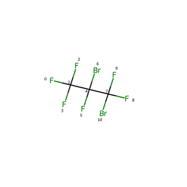 FC(F)(F)C(F)(Br)C(F)(F)Br